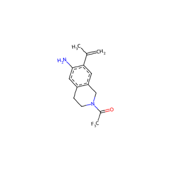 C=C(C)c1cc2c(cc1N)CCN(C(=O)C(F)(F)F)C2